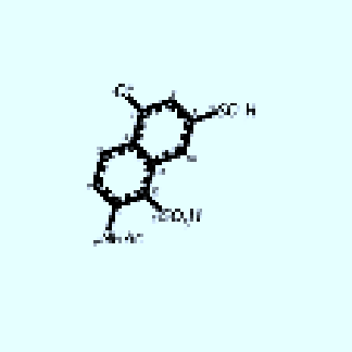 CC(=O)Nc1ccc2c([O])cc(S(=O)(=O)O)cc2c1S(=O)(=O)O